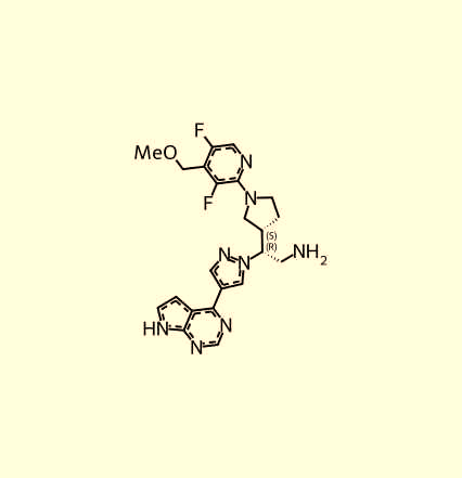 COCc1c(F)cnc(N2CC[C@H]([C@H](CN)n3cc(-c4ncnc5[nH]ccc45)cn3)C2)c1F